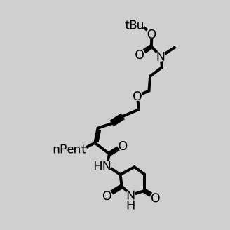 CCCCC/C(=C/C#CCOCCCN(C)C(=O)OC(C)(C)C)C(=O)NC1CCC(=O)NC1=O